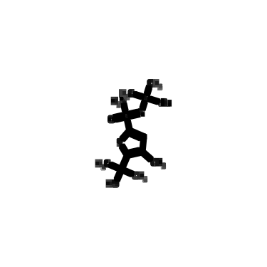 Cc1cc(S(N)(=O)=N[Si](C)(C)C(C)(C)C)sc1C(C)(C)O